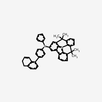 CC1(C)c2cccc3c2-n2c4c1cccc4c1cc(N(c4ccccc4)c4ccc(-c5cccc6c5C=CCC6)cc4)cc(c12)C3(C)C